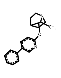 CC1C(Oc2ccc(-c3ccccc3)cn2)C2CCN1CC2